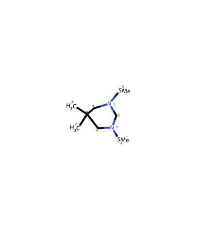 CSN1CN(SC)CC(C)(C)C1